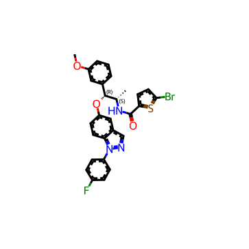 COc1cccc([C@@H](Oc2ccc3c(cnn3-c3ccc(F)cc3)c2)[C@H](C)NC(=O)c2ccc(Br)s2)c1